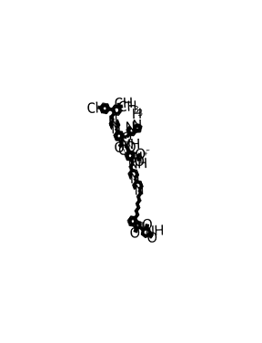 CC1(C)CCC(CN2CCN(c3ccc(C(=O)NS(=O)(=O)c4ccc(NCC5CCN(C6CCN(CCCCCCCc7cccc8c7CN(C7CCC(=O)NC7=O)C8=O)CC6)CC5)c([N+](=O)[O-])c4)c(Oc4cnc5[nH]ccc5c4)c3)CC2)=C(c2ccc(Cl)cc2)C1